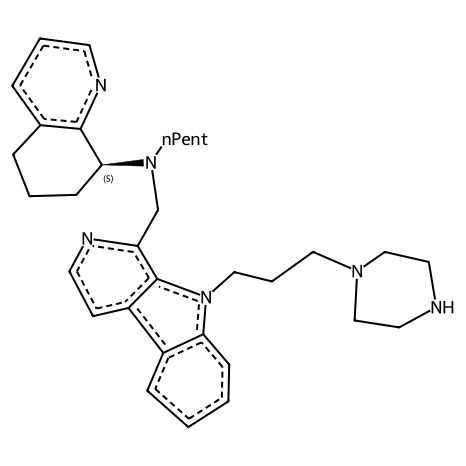 CCCCCN(Cc1nccc2c3ccccc3n(CCCN3CCNCC3)c12)[C@H]1CCCc2cccnc21